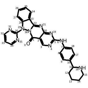 O=c1c2cnc(Nc3ccc(C4CCCCN4)cc3)nc2nc2c3ccccc3n(-c3ncccn3)n12